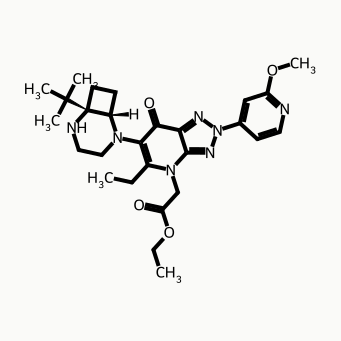 CCOC(=O)Cn1c(CC)c(N2CCN[C@]3(C(C)(C)C)CC[C@H]23)c(=O)c2nn(-c3ccnc(OC)c3)nc21